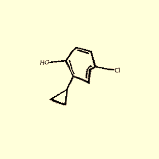 Oc1ccc(Cl)cc1C1CC1